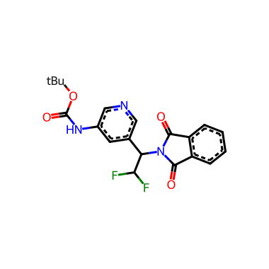 CC(C)(C)OC(=O)Nc1cncc(C(C(F)F)N2C(=O)c3ccccc3C2=O)c1